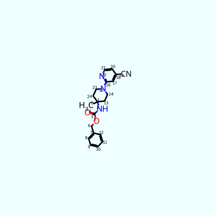 CC1(NC(=O)OCc2ccccc2)CCN(c2cc(C#N)ccn2)CC1